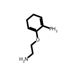 NCCOC1=CCCC=C1P